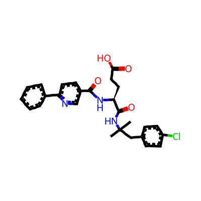 CC(C)(Cc1ccc(Cl)cc1)NC(=O)[C@H](CCC(=O)O)NC(=O)c1ccc(-c2ccccc2)nc1